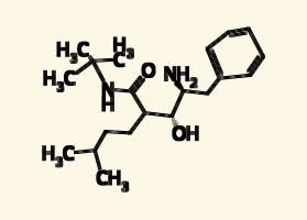 CC(C)CCC(C(=O)NC(C)(C)C)[C@@H](O)[C@@H](N)Cc1ccccc1